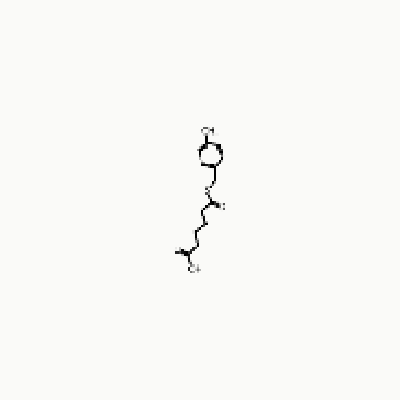 Cc1ccc(CSC(=O)CCCCC(=O)O)cc1